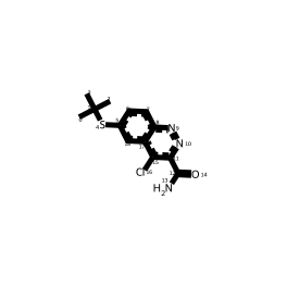 CC(C)(C)Sc1ccc2nnc(C(N)=O)c(Cl)c2c1